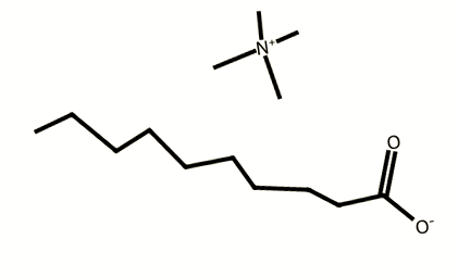 CCCCCCCCCC(=O)[O-].C[N+](C)(C)C